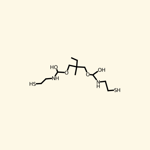 CCC(C)(COC(O)NCCS)COC(O)NCCS